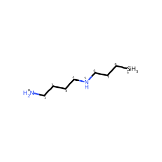 NCCCCNCCC[SiH3]